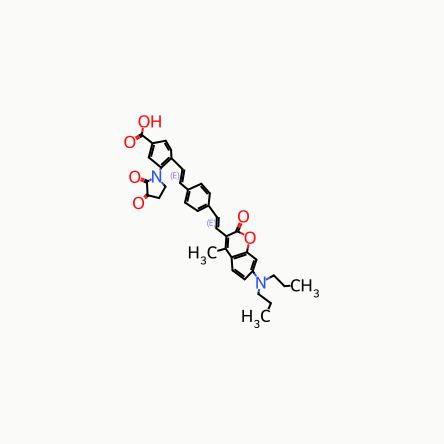 CCCN(CCC)c1ccc2c(C)c(/C=C/c3ccc(/C=C/c4ccc(C(=O)O)cc4N4CCC(=O)C4=O)cc3)c(=O)oc2c1